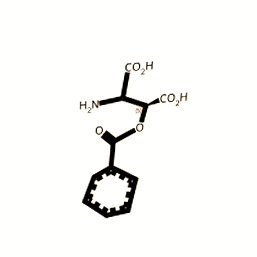 NC(C(=O)O)[C@H](OC(=O)c1ccccc1)C(=O)O